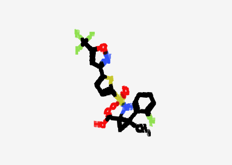 C[C@@]1(c2ccccc2F)C[C@]1(NS(=O)(=O)c1ccc(-c2cc(C(F)(F)F)on2)s1)C(=O)O